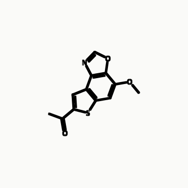 COc1cc2sc(C(C)=O)cc2c2ncoc12